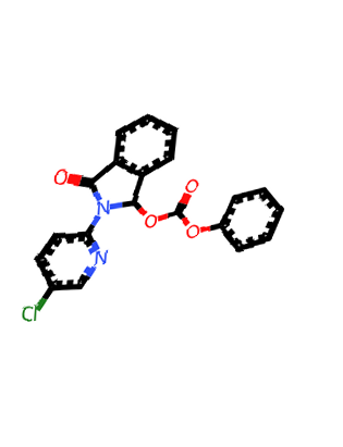 O=C(Oc1ccccc1)OC1c2ccccc2C(=O)N1c1ccc(Cl)cn1